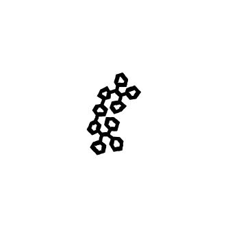 c1ccc(C(=C(c2ccccc2)c2cccc(-c3ccc(-c4cccc(C(=C(c5ccccc5)c5ccccc5)c5ccccc5)c4)cc3)c2)c2ccccc2)cc1